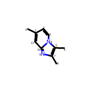 Cc1ccn2c(C)c(C)nc2c1